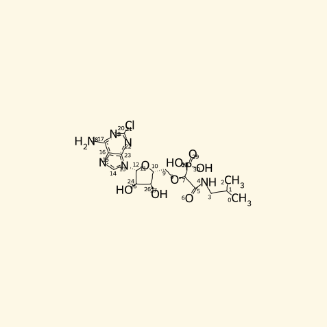 CC(C)CNC(=O)[C@@H](OC[C@H]1O[C@@H](n2cnc3c(N)nc(Cl)nc32)[C@H](O)[C@@H]1O)P(=O)(O)O